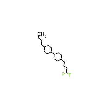 C=CCCC1CCC(C2CCC(CCC=C(F)F)CC2)CC1